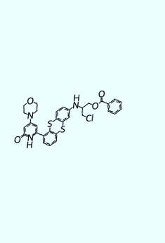 O=C(OCC(CCl)Nc1ccc2c(c1)Sc1cccc(-c3cc(N4CCOCC4)cc(=O)[nH]3)c1S2)c1ccccc1